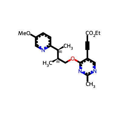 CCOC(=O)C#Cc1cnc(C)nc1OC[C@@H](C)[C@H](C)c1ccc(OC)cn1